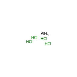 Cl.Cl.Cl.Cl.[AlH3]